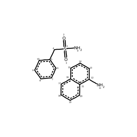 NS(=O)(=O)Cc1ccccc1.Nc1cccc2ccccc12